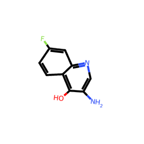 Nc1cnc2cc(F)ccc2c1O